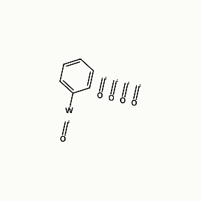 [C]=O.[C]=O.[C]=O.[C]=O.[C]=O.[W][c]1ccccc1